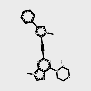 C[C@@H]1COCCN1c1nc(C#Cc2nc(-c3ccccc3)cn2C)nc2c1ncn2C